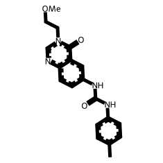 COCCn1cnc2ccc(NC(=O)Nc3ccc(C)cc3)cc2c1=O